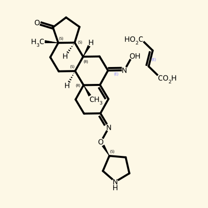 C[C@]12CCC(=NO[C@H]3CCNC3)C=C1/C(=N/O)C[C@@H]1[C@@H]2CC[C@]2(C)C(=O)CC[C@@H]12.O=C(O)/C=C/C(=O)O